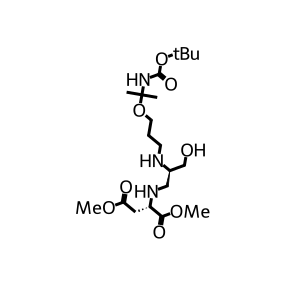 COC(=O)C[C@H](NC[C@H](CO)NCCCOC(C)(C)NC(=O)OC(C)(C)C)C(=O)OC